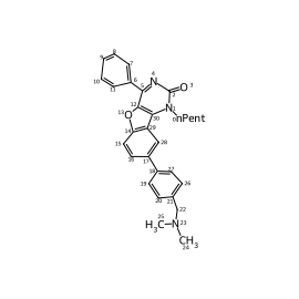 CCCCCn1c(=O)nc(-c2ccccc2)c2oc3ccc(-c4ccc(CN(C)C)cc4)cc3c21